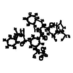 CC(C)N1CCC[C@@H]1N(C)C[C@@H](O)[C@H](Cc1ccccc1)NC(=O)c1cc(C(=O)N[C@H](C)c2ccccc2)cc(N(C)S(C)(=O)=O)c1